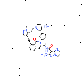 CNC1CCN(CCc2c(C#Cc3cccc4cc(C(C)NC(=O)c5c(N)nn6cccnc56)n(-c5ccccc5)c(=O)c34)cnn2C)CC1